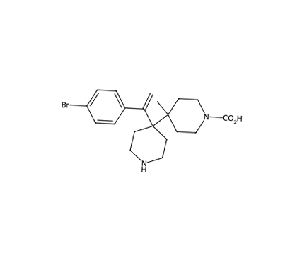 C=C(c1ccc(Br)cc1)C1(C2(C)CCN(C(=O)O)CC2)CCNCC1